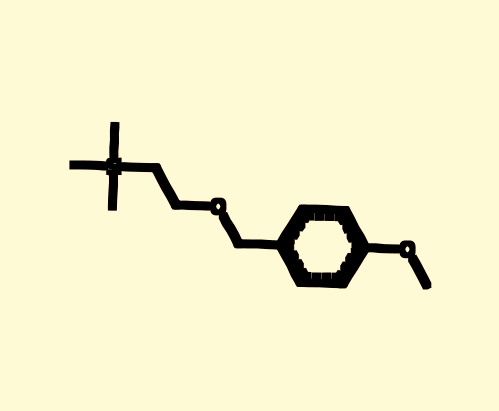 COc1ccc(COCC[Si](C)(C)C)cc1